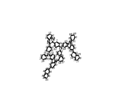 c1ccc(N(c2ccc(-c3nc4ccccc4nc3-c3ccc(N(c4ccccc4)c4ccc5c(c4)c4cc(-c6ccc7ccccc7c6)ccc4n5-c4ccccc4)cc3)cc2)c2ccc3c(c2)c2cc(-c4ccc5ccccc5c4)ccc2n3-c2ccccc2)cc1